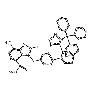 CCCc1nc2c(C)cnc(C(=O)OC)c2n1Cc1ccc(-c2ccccc2-c2nnnn2C(c2ccccc2)(c2ccccc2)c2ccccc2)cc1